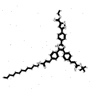 CCCCCCCCCCCCNC(=O)/C=C/c1ccc(-c2[nH]c(-c3ccc(-c4cc(C(=O)OCC)on4)cc3)nc2-c2ccc(/C=C/C(=O)OC(C)(C)C)cc2)cc1